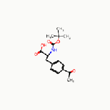 CC(=O)c1ccc(CC(NC(=O)OC(C)(C)C)C(=O)O)cc1